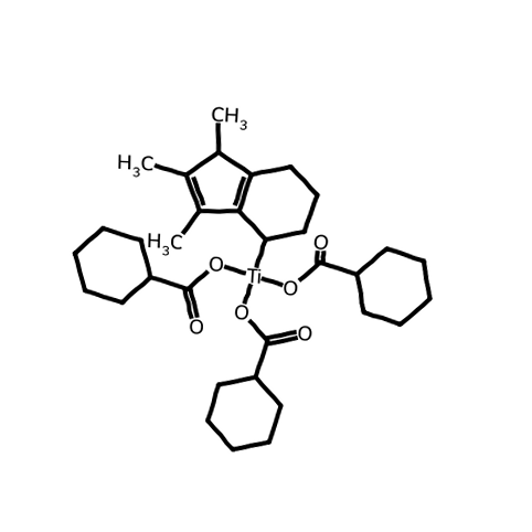 CC1=C(C)C(C)C2=C1[CH]([Ti]([O]C(=O)C1CCCCC1)([O]C(=O)C1CCCCC1)[O]C(=O)C1CCCCC1)CCC2